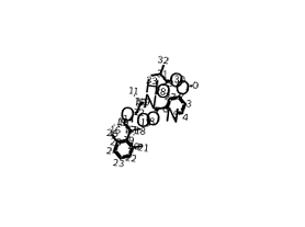 COc1ccnc(C(=O)N[C@@H](C)C(=O)O[C@@H](C)[C@@H](C)c2c(C)cccc2C)c1OC(=O)C(C)C